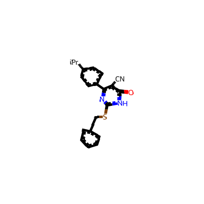 CC(C)c1ccc(-c2nc(SCc3ccccc3)[nH]c(=O)c2C#N)cc1